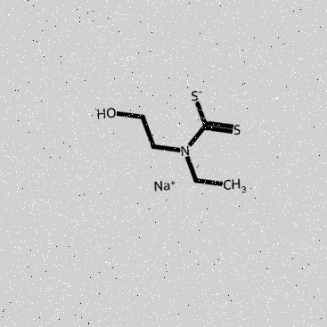 CCN(CCO)C(=S)[S-].[Na+]